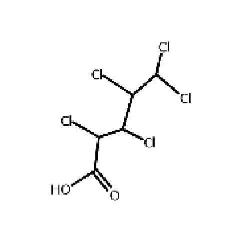 O=C(O)C(Cl)C(Cl)C(Cl)C(Cl)Cl